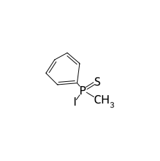 CP(=S)(I)c1ccccc1